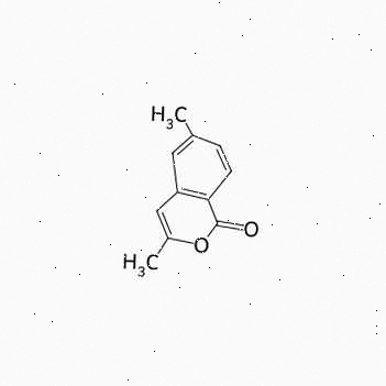 Cc1ccc2c(=O)oc(C)cc2c1